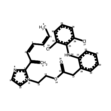 C=C(/C=C\C=C/C)c1nccn1CCOC(=O)Cc1ccccc1Nc1c(Cl)cccc1Cl